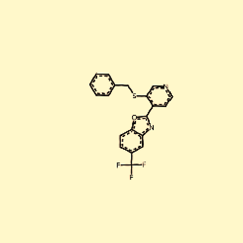 FC(F)(F)c1ccc2oc(-c3ccncc3SCc3ccccc3)nc2c1